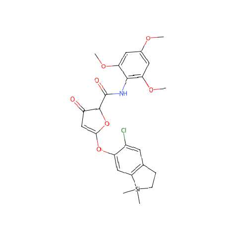 COc1cc(OC)c(NC(=O)C2OC(Oc3cc4c(cc3Cl)CC[Si]4(C)C)=CC2=O)c(OC)c1